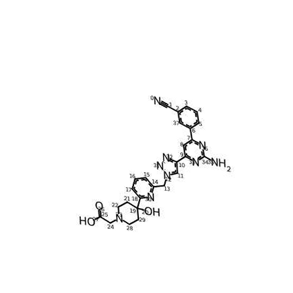 N#Cc1cccc(-c2cc(-c3cn(Cc4cccc(C5(O)CCN(CC(=O)O)CC5)n4)nn3)nc(N)n2)c1